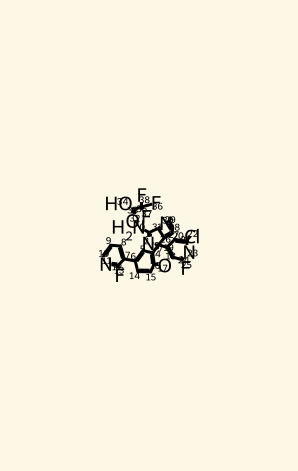 NC1=N[C@]2(c3cc(-c4cccnc4F)ccc3Oc3c2cc(Cl)nc3F)c2cccnc21.O=C(O)C(F)(F)F